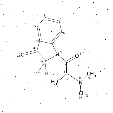 CC(C(=O)N1c2ccccc2C(=O)C12CC2)N(C)C